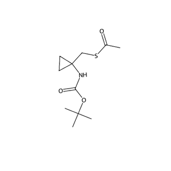 CC(=O)SCC1(NC(=O)OC(C)(C)C)CC1